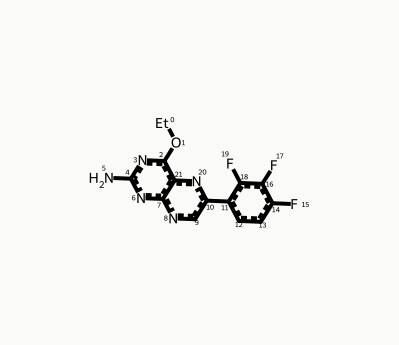 CCOc1nc(N)nc2ncc(-c3ccc(F)c(F)c3F)nc12